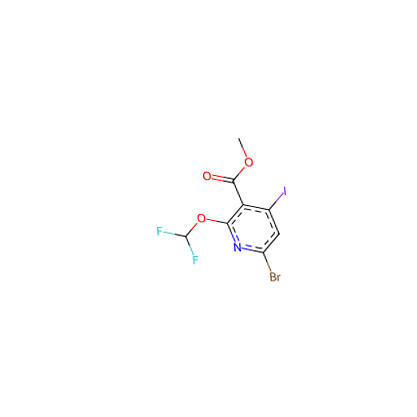 COC(=O)c1c(I)cc(Br)nc1OC(F)F